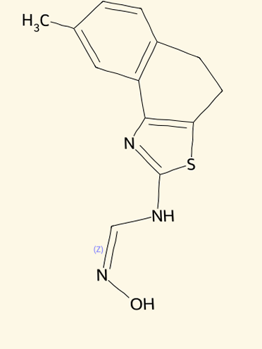 Cc1ccc2c(c1)-c1nc(N/C=N\O)sc1CC2